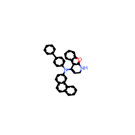 C1=C(N(c2ccc(-c3ccccc3)cc2)c2ccc3ccc4ccccc4c3c2)c2c(oc3ccccc23)NC1